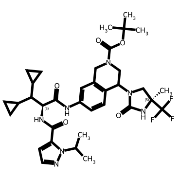 CC(C)n1nccc1C(=O)N[C@H](C(=O)Nc1ccc2c(c1)CN(C(=O)OC(C)(C)C)CC2N1C[C@@](C)(C(F)(F)F)NC1=O)C(C1CC1)C1CC1